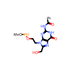 COPOCCn1c(CO)nc2c(=O)[nH]c(NC(=O)C(C)C)nc21